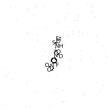 CCOC(=S)NC[C@H]1CN(c2ccc(N3CCOC3=O)c(F)c2)C(=O)O1